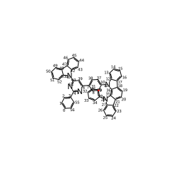 c1ccc(-c2nc(-c3ccc(-n4c5ccccc5c5ccc6c7ccccc7n(-c7ccccc7)c6c54)cc3)cc(-n3c4ccccc4c4ccccc43)n2)cc1